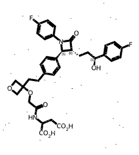 O=C(O)CC(NC(=O)COC1(CCc2ccc([C@@H]3[C@@H](CC[C@H](O)c4ccc(F)cc4)C(=O)N3c3ccc(F)cc3)cc2)COC1)C(=O)O